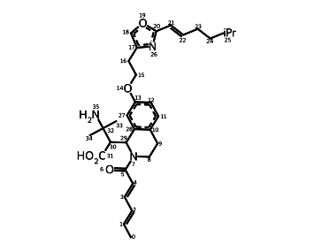 CC=CC=CC(=O)N1CCc2ccc(OCCc3coc(C=CCCC(C)C)n3)cc2C1C(C(=O)O)C(C)(C)N